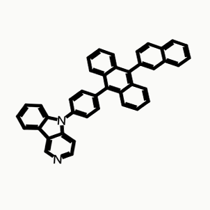 c1ccc2cc(-c3c4ccccc4c(-c4ccc(-n5c6ccccc6c6cnccc65)cc4)c4ccccc34)ccc2c1